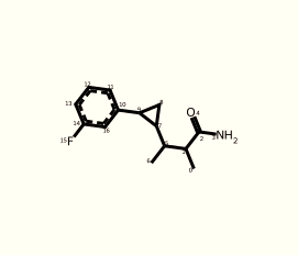 CC(C(N)=O)C(C)C1CC1c1cccc(F)c1